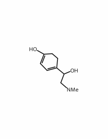 CNCC(O)C1=CC=C(O)CC1